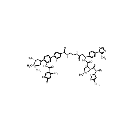 Cc1cc(C(C(=O)N2C[C@H](O)C[C@H]2C(=O)NC(CC(=O)NCCNC(=O)c2ccc(-c3ccc(N4C[C@@H](C)N(C)[C@@H](C)C4)c(NC(=O)c4c[nH]c(=O)cc4C(F)(F)F)c3)c(F)c2)c2ccc(-c3scnc3C)cc2)C(C)C)on1